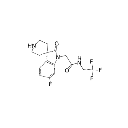 O=C(CN1C(=O)C2(CCNCC2)c2ccc(F)cc21)NCC(F)(F)F